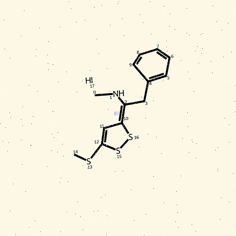 CN/C(Cc1ccccc1)=C1\C=C(SC)SS1.I